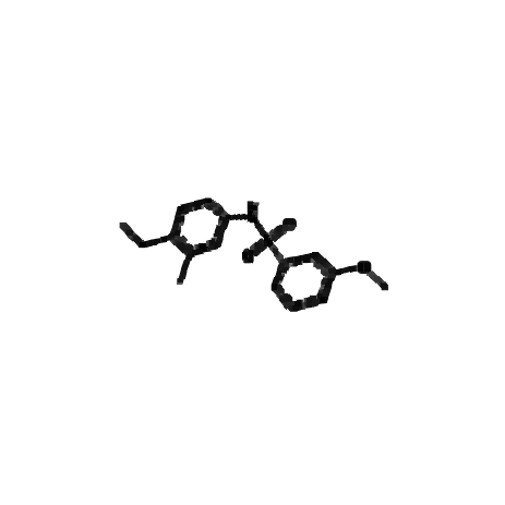 CCc1ccc(NS(=O)(=O)c2cccc(OC)c2)cc1C